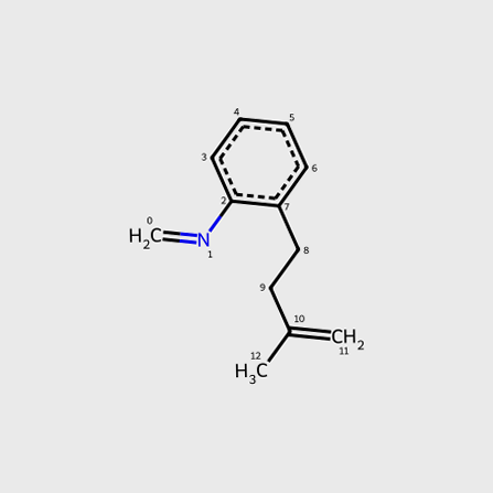 C=Nc1ccccc1CCC(=C)C